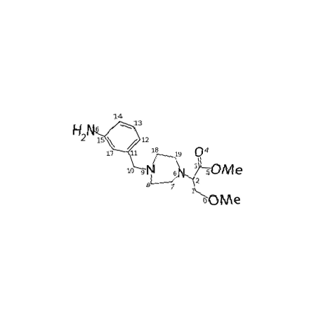 COCC(C(=O)OC)N1CCN(Cc2cccc(N)c2)CC1